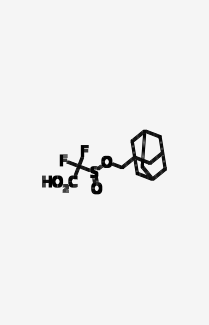 O=C(O)C(F)(F)S(=O)OCC12CC3CC(CC(C3)C1)C2